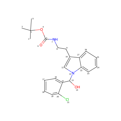 CC(C)(C)OC(=O)NCCc1cn(C(O)c2ccccc2Cl)c2ccccc12